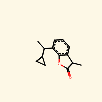 CC1C(=O)Oc2c1cccc2C(C)C1CC1